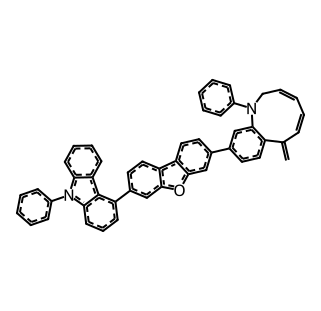 C=C1/C=C\C=C/CN(c2ccccc2)c2cc(-c3ccc4c(c3)oc3cc(-c5cccc6c5c5ccccc5n6-c5ccccc5)ccc34)ccc21